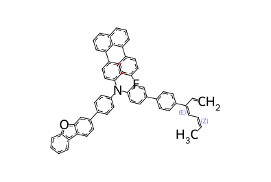 C=C/C(=C\C=C/C)c1ccc(-c2ccc(N(c3ccc(-c4ccc5c(c4)oc4ccccc45)cc3)c3ccc(-c4cccc5cccc(-c6ccc(F)cc6)c45)cc3)cc2)cc1